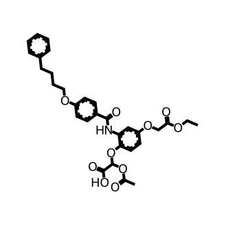 CCOC(=O)COc1ccc(OC(OC(C)=O)C(=O)O)c(NC(=O)c2ccc(OCCCCc3ccccc3)cc2)c1